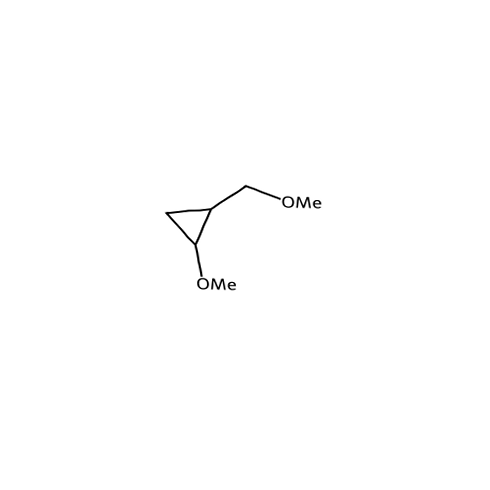 [CH2]OCC1CC1OC